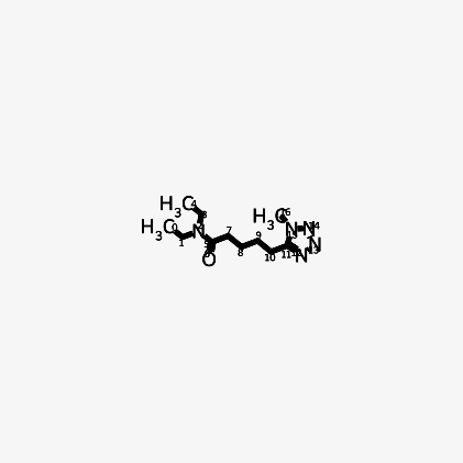 CCN(CC)C(=O)CCCCc1nnnn1C